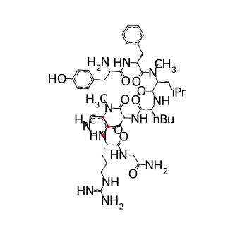 CCCC[C@H](NC(=O)[C@H](CC(C)C)N(C)C(=O)[C@H](Cc1ccccc1)NC(=O)[C@@H](N)Cc1ccc(O)cc1)C(=O)N[C@@H](Cc1ccncc1)C(=O)N(C)[C@@H](C)C(=O)N[C@@H](CCCNC(=N)N)C(=O)NCC(N)=O